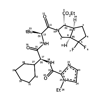 CCOC(=O)[C@@H]1[C@H]2CCC(F)(F)[C@H]2CN1C(=O)[C@@H](NC(=O)[C@@H](NC(=O)c1nccn1CC)C1CCCCC1)C(C)(C)C